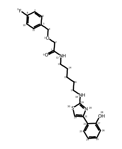 O=C(COCc1ccc(F)cc1)NCCCCCNc1nc(-c2ccccc2O)cs1